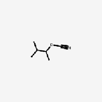 CC(C)C(C)OC#N